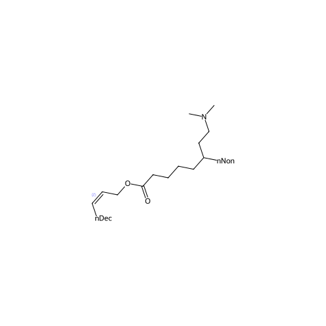 CCCCCCCCCC/C=C\COC(=O)CCCCC(CCCCCCCCC)CCN(C)C